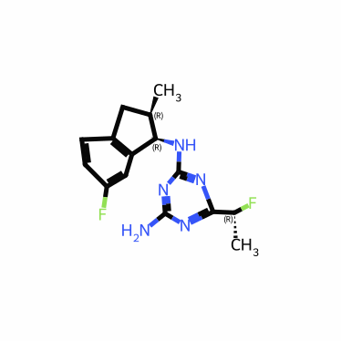 C[C@@H]1Cc2ccc(F)cc2[C@@H]1Nc1nc(N)nc([C@@H](C)F)n1